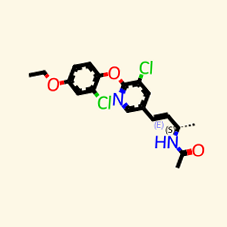 CCOc1ccc(Oc2ncc(/C=C/[C@H](C)NC(C)=O)cc2Cl)c(Cl)c1